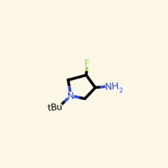 CC(C)(C)N1CC(N)C(F)C1